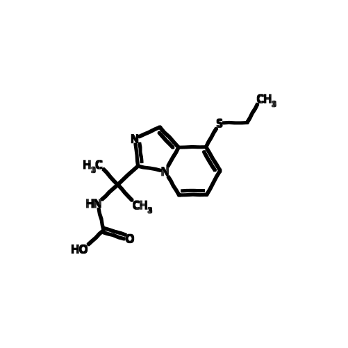 CCSc1cccn2c(C(C)(C)NC(=O)O)ncc12